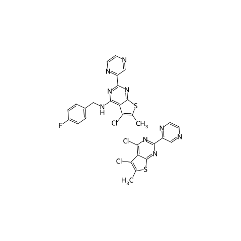 Cc1sc2nc(-c3cnccn3)nc(Cl)c2c1Cl.Cc1sc2nc(-c3cnccn3)nc(NCc3ccc(F)cc3)c2c1Cl